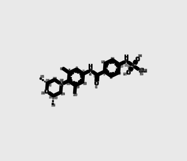 Cc1cc(NC(=O)c2ccc(NS(=O)(=O)C(C)(C)C)cc2)cc(C)c1N1C[C@@H](C)O[C@@H](C)C1